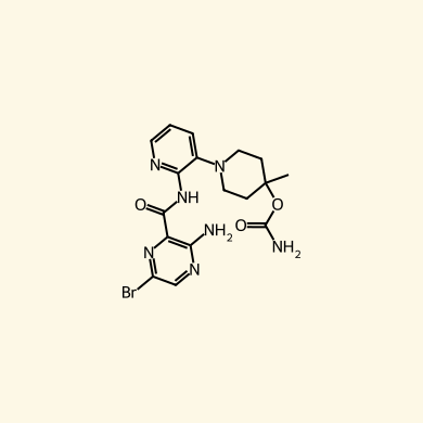 CC1(OC(N)=O)CCN(c2cccnc2NC(=O)c2nc(Br)cnc2N)CC1